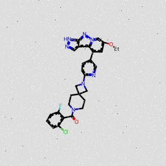 CCOc1cc(-c2ccc(N3CC4(CCN(C(=O)c5c(F)cccc5Cl)CC4)C3)nc2)c2c3cn[nH]c3nn2c1